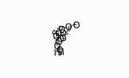 C=C1C[C@H](CCC=O)O[C@H]1CCC1C[C@@H](C)C(=C)[C@@H](C[C@@H]2O[C@H](C[C@H](C)CC)[C@H](OC)[C@H]2C(C(=O)CC2CCC3O[C@@H]([C@H](/C=C/I)O[Si](C)(C)C(C)(C)C)[C@@H](C)[C@@H](C)C3O2)S(=O)(=O)c2ccccc2)O1